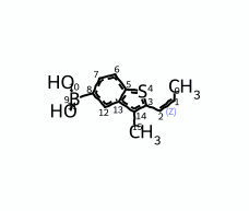 C/C=C\c1sc2ccc(B(O)O)cc2c1C